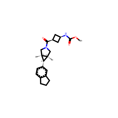 CC(C)OC(=O)N[C@H]1C[C@@H](C(=O)N2C[C@@H]3[C@H](C2)[C@H]3c2ccc3c(c2)CCC3)C1